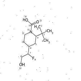 CC(C)(C)C1CC(C(F)CO)CCN1C(=O)O